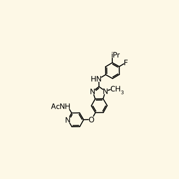 CC(=O)Nc1cc(Oc2ccc3c(c2)nc(Nc2ccc(F)c(C(C)C)c2)n3C)ccn1